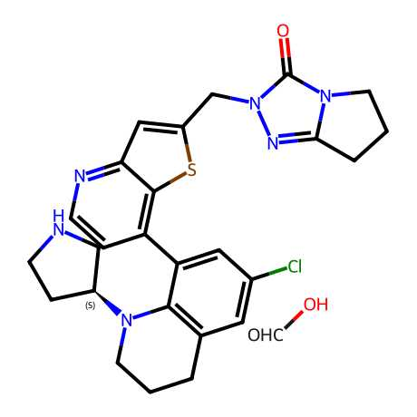 O=CO.O=c1n(Cc2cc3nccc(-c4cc(Cl)cc5c4N([C@H]4CCNC4)CCC5)c3s2)nc2n1CCC2